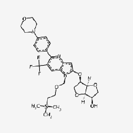 C[Si](C)(C)CCOCn1c(O[C@@H]2CO[C@H]3[C@@H]2OC[C@H]3O)cc2nc(-c3ccc(N4CCOCC4)cc3)c(C(F)(F)F)cc21